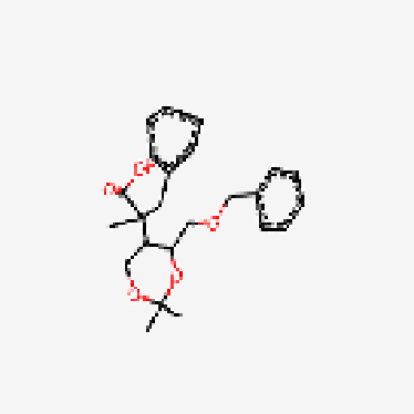 CC1(C)OCC(C(C)(Cc2ccccc2)C(=O)O)C(COCc2ccccc2)O1